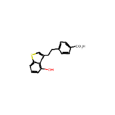 O=C(O)c1ccc(CCc2csc3cccc(O)c23)cc1